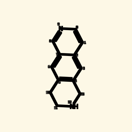 c1cc2cc3c(cc2cn1)CCNC3